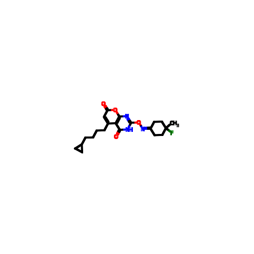 CC1(F)CCC(=NOc2nc3oc(=O)cc(CCCCC4CC4)c3c(=O)[nH]2)CC1